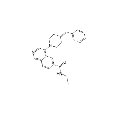 CCNC(=O)c1ccc2cncc(N3CCC(=Cc4ccccc4)CC3)c2c1